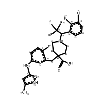 Cc1cc(Nc2ccc(F)c(CC3(C(=O)O)CCN(C(c4cccc(Cl)c4F)C(F)(F)F)CC3)n2)n[nH]1